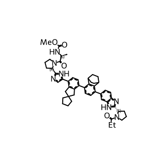 CCC(=O)N1CCC[C@H]1c1nc2ccc(-c3ccc(-c4ccc(-c5cnc([C@H]6CCCN6C(=O)[C@H](C)NC(=O)OC)[nH]5)c5c4CC4(CCCC4)C5)c4c3C3CCC4CC3)cc2[nH]1